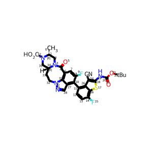 C[C@@H]1CN2C(=O)c3cc(F)c(-c4ccc(F)c5sc(NC(=O)OC(C)(C)C)c(C#N)c45)c4cnn(c34)CC[C@@H]2CN1C(=O)O